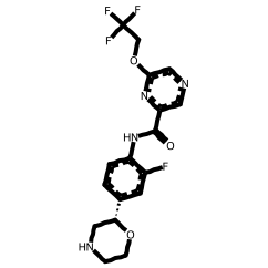 O=C(Nc1ccc([C@H]2CNCCO2)cc1F)c1cncc(OCC(F)(F)F)n1